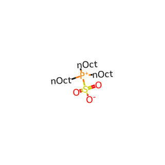 CCCCCCCC[P+](CCCCCCCC)(CCCCCCCC)S(=O)(=O)[O-]